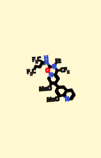 CCN(C(=O)N[C@@H](CCC(F)(F)F)C(F)(F)F)C(c1cc(-c2cc(OC)c3ncccc3c2)c(OC)cn1)C(F)(F)F